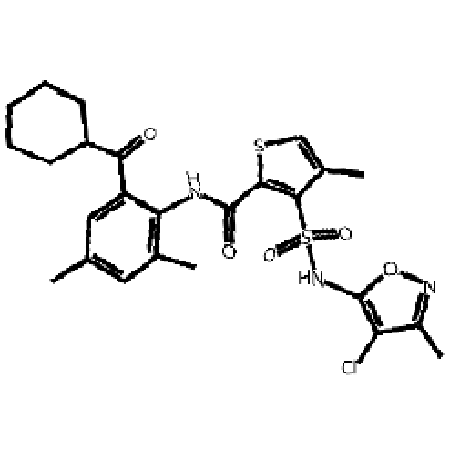 Cc1cc(C)c(NC(=O)c2scc(C)c2S(=O)(=O)Nc2onc(C)c2Cl)c(C(=O)C2CCCCC2)c1